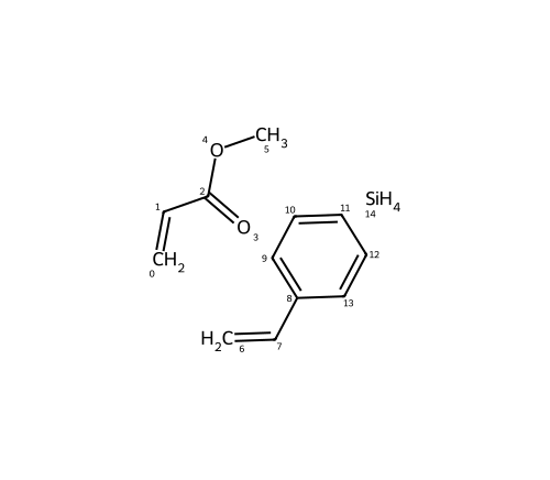 C=CC(=O)OC.C=Cc1ccccc1.[SiH4]